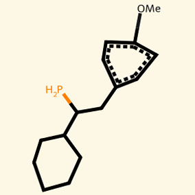 COc1ccc(CC(P)C2CCCCC2)cc1